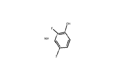 Oc1ccc(F)cc1F.[Na]